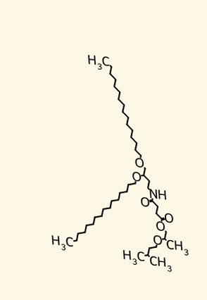 CCCCCCCCCCCCCCCCOCC(CCNC(=O)CCC(=O)OCC(C)OCCC(C)C)OCCCCCCCCCCCCCCCC